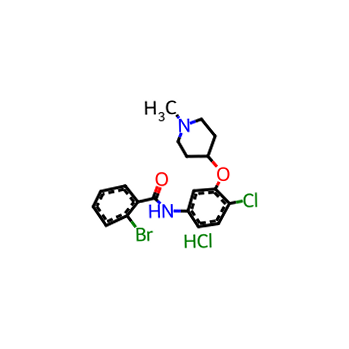 CN1CCC(Oc2cc(NC(=O)c3ccccc3Br)ccc2Cl)CC1.Cl